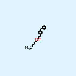 CCCCCCOC(=O)/C=C/c1ccc(Cc2ccccc2)cc1